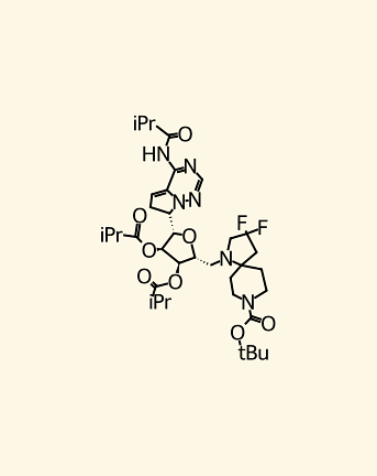 CC(C)C(=O)NC1=NC=NN2C1=CCC2[C@@H]1O[C@H](CN2CC(F)(F)CC23CCN(C(=O)OC(C)(C)C)CC3)[C@@H](OC(=O)C(C)C)[C@H]1OC(=O)C(C)C